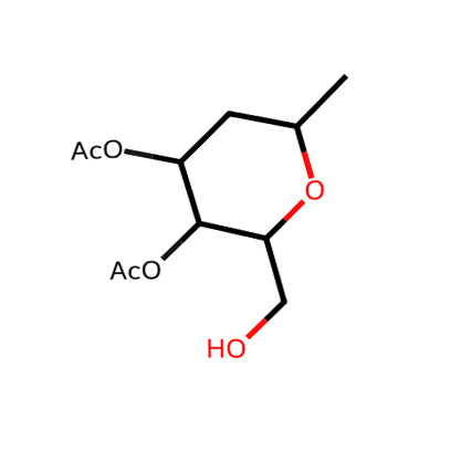 CC(=O)OC1CC(C)OC(CO)C1OC(C)=O